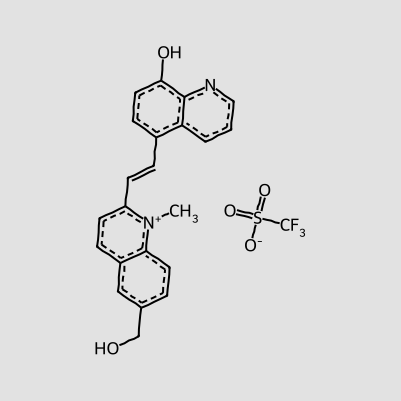 C[n+]1c(C=Cc2ccc(O)c3ncccc23)ccc2cc(CO)ccc21.O=S(=O)([O-])C(F)(F)F